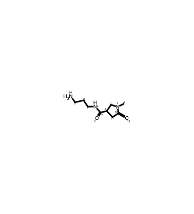 CN1CC(C(=O)NCCCN)CC1=O